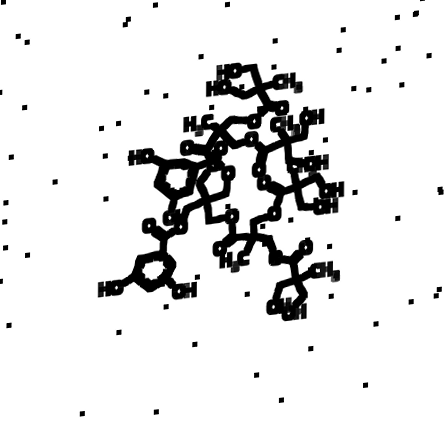 CC(CO)(CO)C(=O)OCC(C)(COC(=O)C(C)(CO)CO)C(=O)OCC(COC(=O)c1cc(O)cc(O)c1)(COC(=O)c1cc(O)cc(O)c1)COC(=O)C(C)(COC(=O)C(C)(CO)CO)COC(=O)C(C)(CO)CO